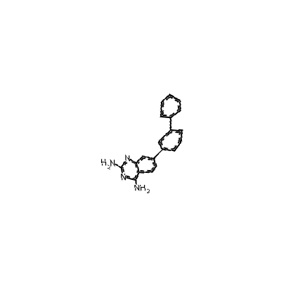 Nc1nc(N)c2ccc(-c3cccc(-c4ccccc4)c3)cc2n1